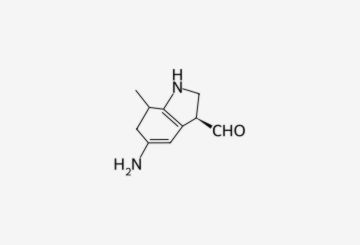 CC1CC(N)=CC2=C1NC[C@H]2C=O